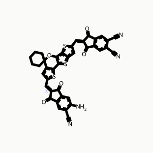 N#Cc1cc2c(cc1N)C(=O)/C(=C\c1cc3c(s1)-c1sc4cc(C=C5C(=O)c6cc(C#N)c(C#N)cc6C5=O)sc4c1OC31CCCCC1)C2=O